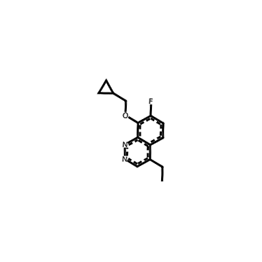 CCc1cnnc2c(OCC3CC3)c(F)ccc12